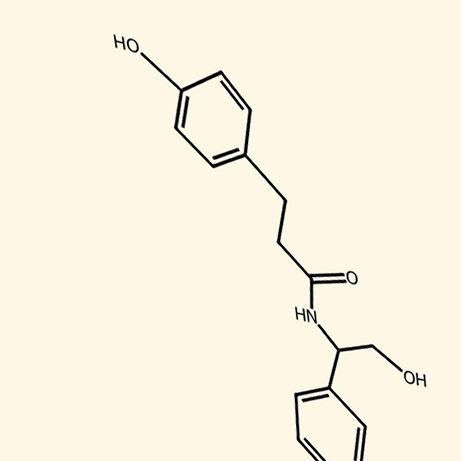 O=C(CCc1ccc(O)cc1)NC(CO)c1ccccc1